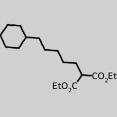 CCOC(=O)C(CCCCCC1CCCCC1)C(=O)OCC